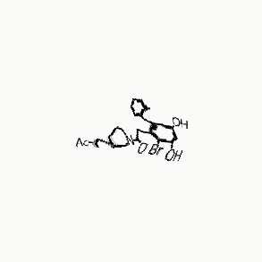 CC(=O)N1CCN(C(=O)Cc2c(Br)c(O)cc(O)c2-c2ccccc2)CC1